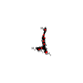 C=CC(=O)OCCCCCCOc1ccc(OC(=O)C2CCC(C(=O)Oc3ccc(OC(=O)C4CCC(C)CC4)c4nc(-c5cc6c(C)cc(C)cc6o5)sc34)CC2)cc1